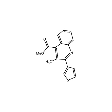 COC(=O)c1c(C)c(-c2ccsc2)nc2ccccc12